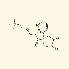 C[Si](C)(C)CCOCN1C(=O)C2(CCC(=O)C(Br)C2)c2cccnc21